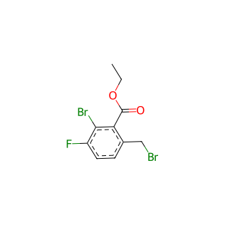 CCOC(=O)c1c(CBr)ccc(F)c1Br